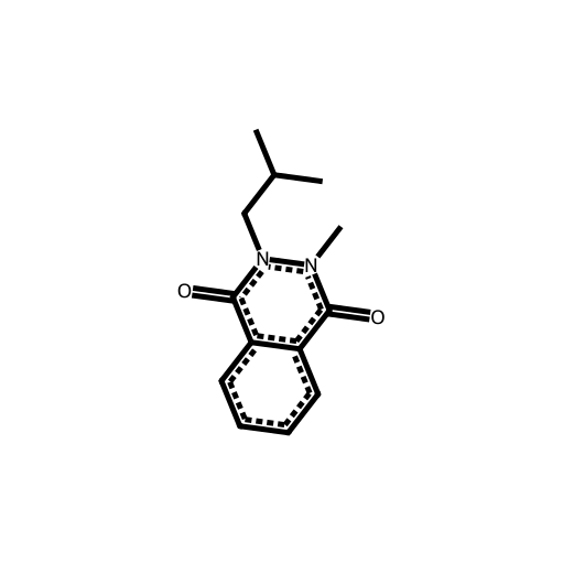 CC(C)Cn1c(=O)c2ccccc2c(=O)n1C